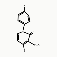 O=Cc1c(I)ccn(-c2ccc(F)cc2)c1=O